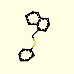 c1ccc(SCc2cccc3ccccc23)cc1